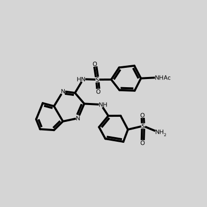 CC(=O)Nc1ccc(S(=O)(=O)Nc2nc3ccccc3nc2NC2=CC=CC(S(N)(=O)=O)C2)cc1